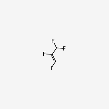 FC(=CI)C(F)F